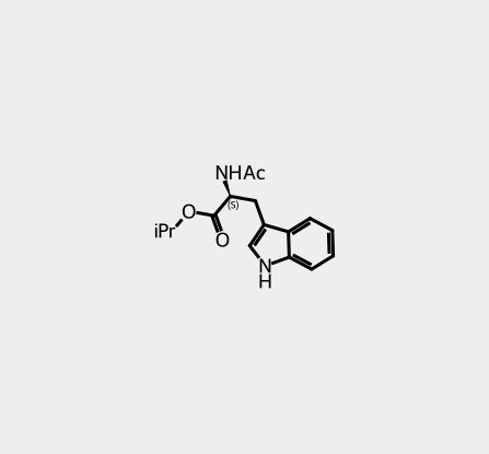 CC(=O)N[C@@H](Cc1c[nH]c2ccccc12)C(=O)OC(C)C